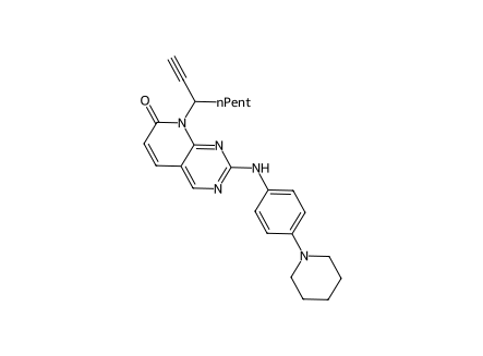 C#CC(CCCCC)n1c(=O)ccc2cnc(Nc3ccc(N4CCCCC4)cc3)nc21